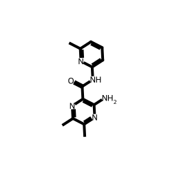 Cc1cccc(NC(=O)c2nc(C)c(C)nc2N)n1